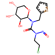 O=NN(CCCl)C(=O)N(Cc1cccs1)[C@@H]1OC[C@@H](O)[C@@H](O)[C@@H]1O